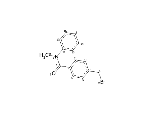 CN(C(=O)c1ccc(CBr)cc1)c1ccccc1